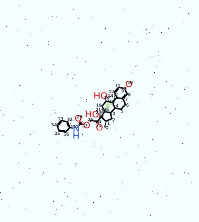 C[C@@H]1CC2C3CCC4=CC(=O)C=C[C@]4(C)[C@@]3(F)[C@@H](O)C[C@]2(C)[C@@]1(O)C(=O)COC(=O)Nc1ccccc1